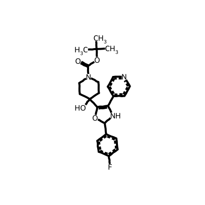 CC(C)(C)OC(=O)N1CCC(O)(C2=C(c3ccncc3)NC(c3ccc(F)cc3)O2)CC1